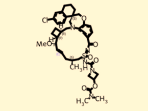 CO[C@H]1/C=C/C[C@H](C)C[S@@](=O)(NC(=O)N2CC(OC(=O)N(C)C)C2)=NC(=O)c2ccc3c(c2)N(C[C@@H]2CC[C@H]21)C[C@@]1(CCCc2cc(Cl)ccc21)CO3